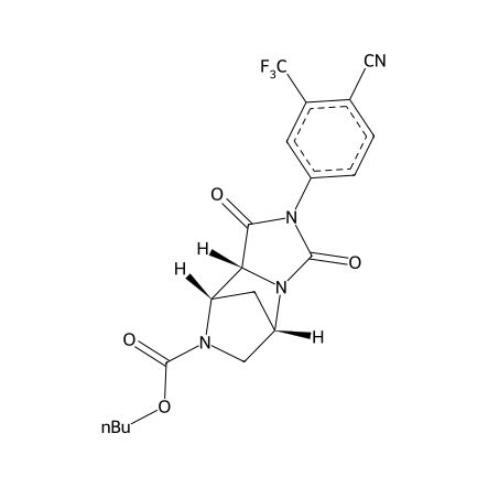 CCCCOC(=O)N1C[C@@H]2C[C@H]1[C@@H]1C(=O)N(c3ccc(C#N)c(C(F)(F)F)c3)C(=O)N21